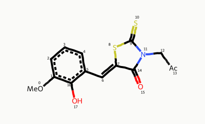 COc1cccc(/C=C2\SC(=S)N(CC(C)=O)C2=O)c1O